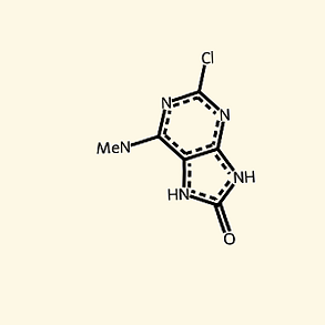 CNc1nc(Cl)nc2[nH]c(=O)[nH]c12